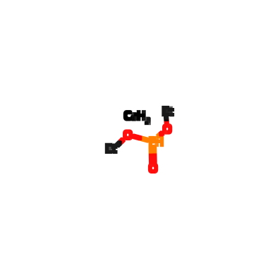 CCO[PH](=O)OCC.[CaH2]